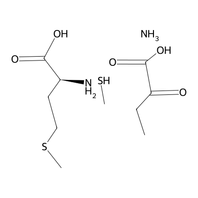 CCC(=O)C(=O)O.CS.CSCC[C@H](N)C(=O)O.N